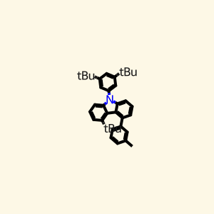 Cc1cccc(-c2cccc3c2c2c(C(C)(C)C)cccc2n3-c2cc(C(C)(C)C)cc(C(C)(C)C)c2)c1